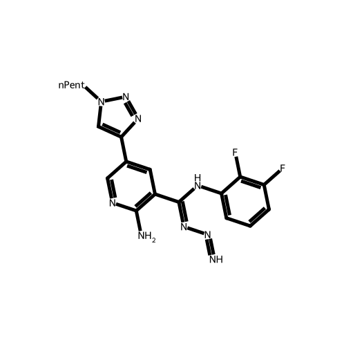 CCCCCn1cc(-c2cnc(N)c(/C(=N/N=N)Nc3cccc(F)c3F)c2)nn1